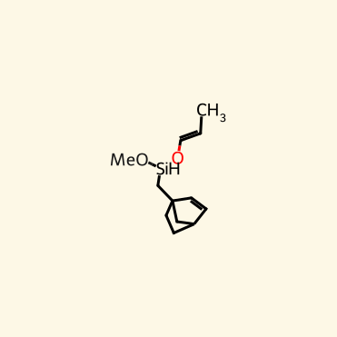 CC=CO[SiH](CC12C=CC(CC1)C2)OC